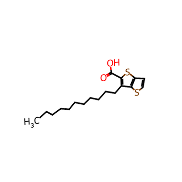 CCCCCCCCCCCc1c(C(=O)O)sc2ccsc12